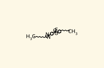 CCCCCCCCc1cnc(-c2ccc(C(=O)Oc3ccc(CCCCCC)cc3F)cc2)nc1